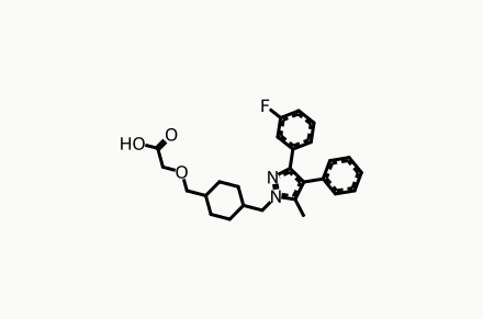 Cc1c(-c2ccccc2)c(-c2cccc(F)c2)nn1CC1CCC(COCC(=O)O)CC1